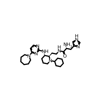 N[C@H](Cc1c[nH]cn1)C(=O)NCC[C@@H]1[C@@H](Nc2nccc(N3CCCCCC3)n2)CCCN1C1CCCCC1